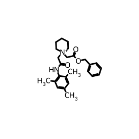 Cc1cc(C)c(NC(=O)C[N+]2(CC(=O)OCc3ccccc3)CCCCC2)c(C)c1